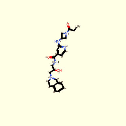 CC(C)CC(=O)N1CC(Nc2cc(C(=O)NCC(O)CN3CCc4ccccc4C3)ccn2)C1